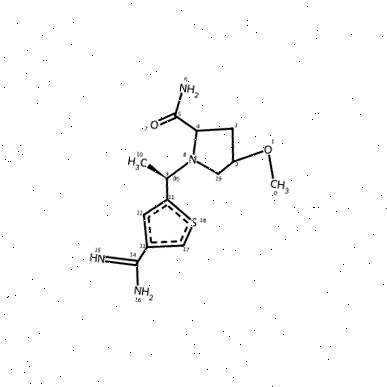 COC1CC(C(N)=O)N([C@H](C)c2cc(C(=N)N)cs2)C1